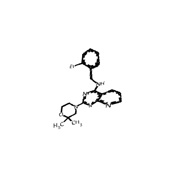 CCc1ccccc1CNc1nc(N2CCOC(C)(C)C2)nc2ncccc12